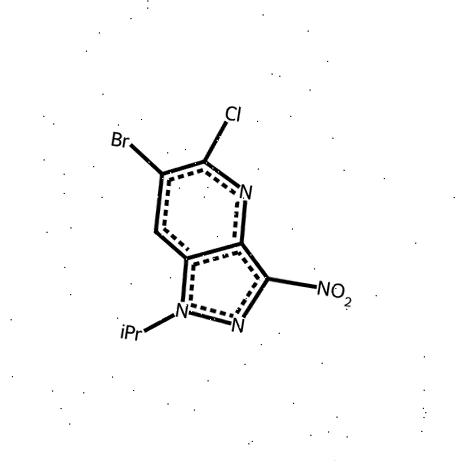 CC(C)n1nc([N+](=O)[O-])c2nc(Cl)c(Br)cc21